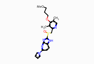 COCCCOc1c(C)cnc(C[S+]([O-])c2nc3nc(-n4cccc4)ccc3[nH]2)c1C